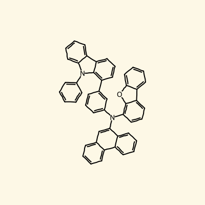 c1ccc(-n2c3ccccc3c3cccc(-c4cccc(N(c5cc6ccccc6c6ccccc56)c5cccc6c5oc5ccccc56)c4)c32)cc1